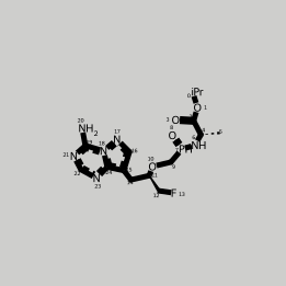 CC(C)OC(=O)[C@H](C)N[PH](=O)CO[C@@H](CF)Cc1cnn2c(N)ncnc12